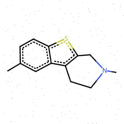 Cc1ccc2sc3c(c2c1)CCN(C)C3